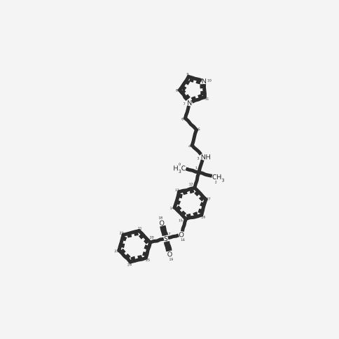 CC(C)(NCCCn1ccnc1)c1ccc(OS(=O)(=O)c2ccccc2)cc1